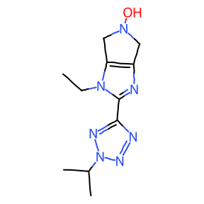 CCn1c(-c2nnn(C(C)C)n2)nc2c1CN(O)C2